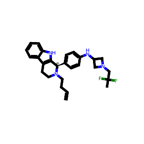 C=CCCN1CCc2c([nH]c3ccccc23)[C@H]1c1ccc(NC2CN(CC(C)(F)F)C2)cc1